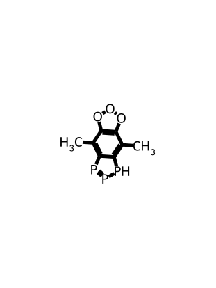 Cc1c2c(c(C)c3[pH]ppc13)OOO2